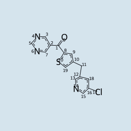 O=C(c1cncnc1)c1cc(Cc2cncc(Cl)c2)cs1